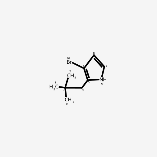 CC(C)(C)Cc1[nH]ccc1Br